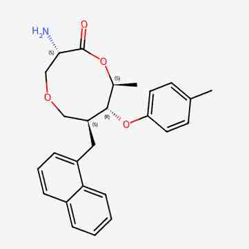 Cc1ccc(O[C@@H]2[C@@H](Cc3cccc4ccccc34)COC[C@H](N)C(=O)O[C@H]2C)cc1